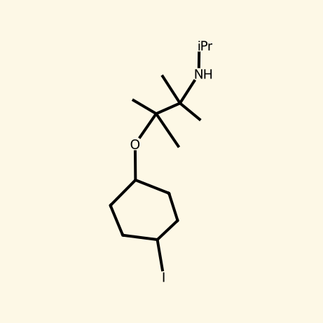 CC(C)NC(C)(C)C(C)(C)OC1CCC(I)CC1